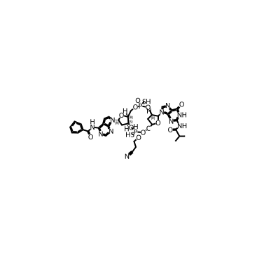 CC(C)C(=O)Nc1nc2c(ncn2C2OC3CO[PH](S)(OCCC#N)O[C@H]4C[C@H](n5ccc6c(NC(=O)c7ccccc7)ncnc65)O[C@@H]4COP(=O)(S)O[C@@H]2C3)c(=O)[nH]1